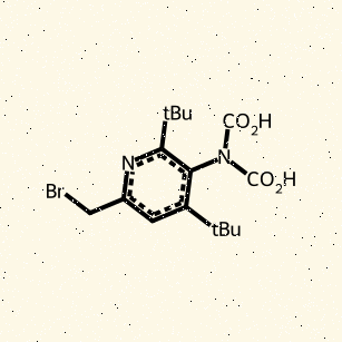 CC(C)(C)c1cc(CBr)nc(C(C)(C)C)c1N(C(=O)O)C(=O)O